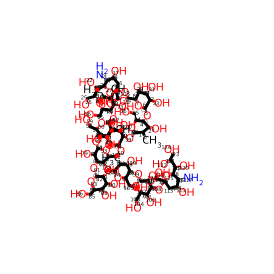 CC1C(O)[C@H](O[C@@H]2OC(CO[C@]3(C(=O)O)C[C@@H](O)[C@@H](N)C([C@H](O)[C@H](O)CO)O3)[C@H](O)[C@H](O)C2O)[C@H](CO)O[C@H]1O[C@@H]1C(O)[C@H](O)C(CO)O[C@@H]1OCC1O[C@@H](O[C@@H]2C(CO)O[C@@H](O[C@@H]3C(CO)O[C@@H](C)C(C)[C@H]3O)C(C)[C@H]2O)[C@H](O)C(O[C@H]2OC(CO)[C@@H](O)C(O)C2O[C@@H]2OC(CO)[C@@H](O[C@@H]3OC(CO)[C@H](O)C(O[C@]4(C(=O)O)C[C@@H](O)[C@@H](N)C([C@H](O)[C@H](O)CO)O4)[C@@H]3O)C(O)[C@@H]2C)[C@@H]1O